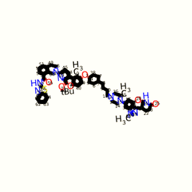 Cc1c(OC2CCC(CCCCN3CCN(c4ccc5c(C6CCC(=O)NC6=O)nn(C)c5c4)[C@@H](C)C3)CC2)cccc1-c1ccc(N2CCc3cccc(C(=O)Nc4nc5ccccc5s4)c3C2)nc1C(=O)OC(C)(C)C